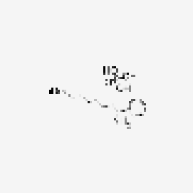 CCCCCCCCCCCCCCCCC(N)c1ccccc1.O=P(O)(O)O